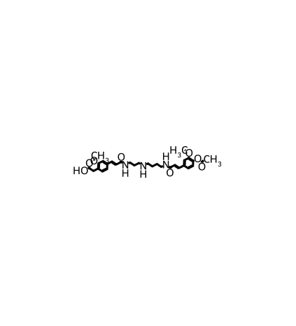 COc1cc(/C=C/C(=O)NCCCNCCCCNC(=O)/C=C/c2ccc(OC(C)=O)c(OC)c2)ccc1CC(=O)O